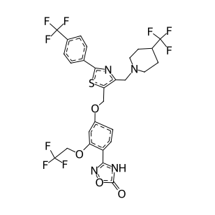 O=c1[nH]c(-c2ccc(OCc3sc(-c4ccc(C(F)(F)F)cc4)nc3CN3CCC(C(F)(F)F)CC3)cc2OCC(F)(F)F)no1